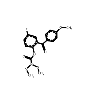 COc1ccc(C(=O)c2cc(F)ccc2OC(=O)N(SC)SC)cc1